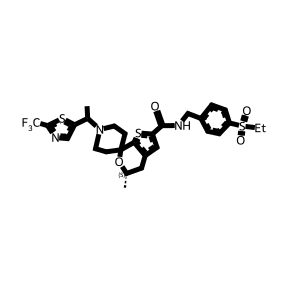 CCS(=O)(=O)c1ccc(CNC(=O)c2cc3c(s2)C2(CCN(C(C)c4cnc(C(F)(F)F)s4)CC2)O[C@@H](C)C3)cc1